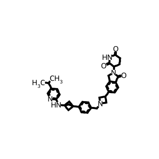 CC(C)c1ccc(NC23CC(c4ccc(CN5CC(c6ccc7c(c6)CN(C6CCC(=O)NC6=O)C7=O)C5)cc4)(C2)C3)nc1